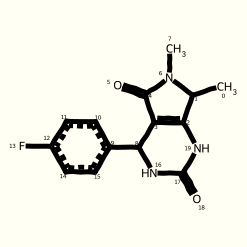 CC1C2=C(C(=O)N1C)C(c1ccc(F)cc1)NC(=O)N2